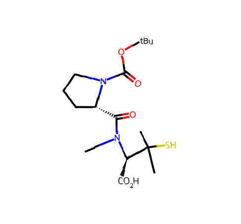 CN(C(=O)[C@@H]1CCCN1C(=O)OC(C)(C)C)[C@H](C(=O)O)C(C)(C)S